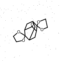 O=C1C2CC3CC(CC1C31OCCO1)C21OCCO1